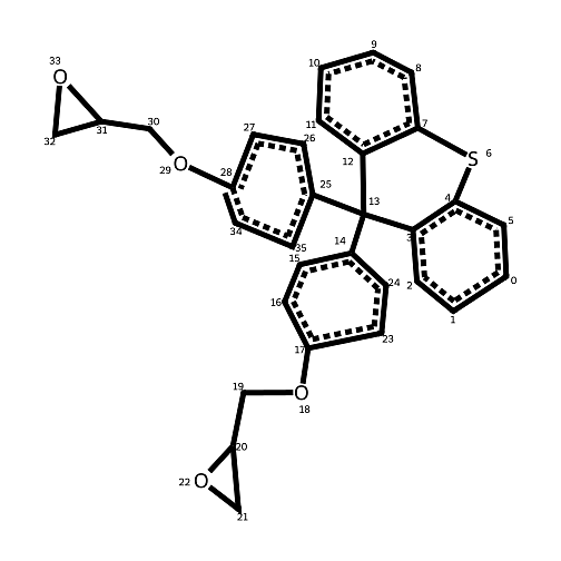 c1ccc2c(c1)Sc1ccccc1C2(c1ccc(OCC2CO2)cc1)c1ccc(OCC2CO2)cc1